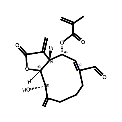 C=C(C)C(=O)O[C@@H]1/C=C(/C=O)CCCC(=C)[C@H](O)[C@H]2OC(=O)C(=C)[C@@H]21